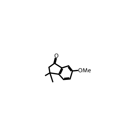 COc1ccc2c(c1)C(=O)CC2(C)C